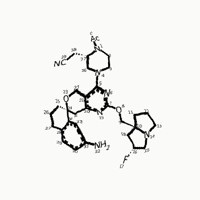 CC(=O)N1CCN(c2nc(OC[C@@]34CCCN3C[C@H](F)C4)nc3c2CO[C@@]2(CCCc4ccc(N)cc42)C3)C[C@@H]1CC#N